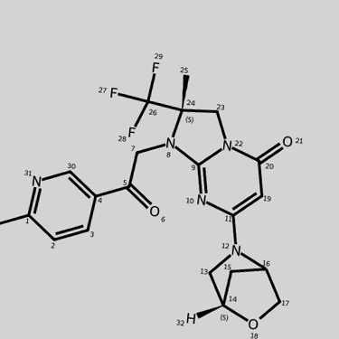 Cc1ccc(C(=O)CN2c3nc(N4C[C@@H]5CC4CO5)cc(=O)n3C[C@@]2(C)C(F)(F)F)cn1